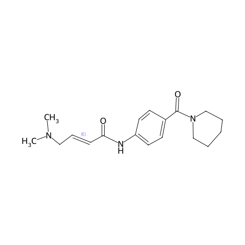 CN(C)C/C=C/C(=O)Nc1ccc(C(=O)N2CCCCC2)cc1